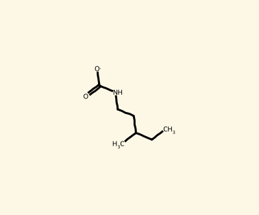 CCC(C)CCNC([O])=O